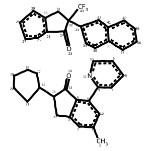 Cc1cc2c(c(-c3ccccn3)c1)C(=O)C(C1CCCCC1)C2.O=C1c2ccccc2CC1(c1ccc2ccccc2c1)C(F)(F)F